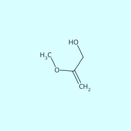 C=C(CO)OC